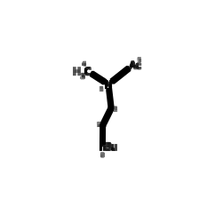 [CH2]CCCCCN(C)C(C)=O